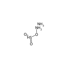 N.NO[SH](=O)=O